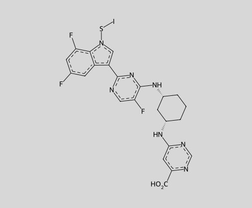 O=C(O)c1cc(N[C@H]2CCC[C@@H](Nc3nc(-c4cn(SI)c5c(F)cc(F)cc45)ncc3F)C2)ncn1